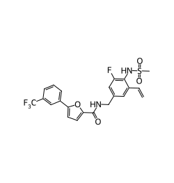 C=Cc1cc(CNC(=O)c2ccc(-c3cccc(C(F)(F)F)c3)o2)cc(F)c1NS(C)(=O)=O